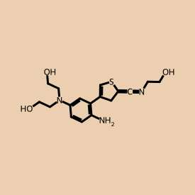 Nc1ccc(N(CCO)CCO)cc1C1=CSC(=C=NCCO)C1